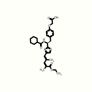 CCOC(=O)/C(C)=C\C(C)=C\c1csc([C@H](Cc2ccc(OCC(=O)O)cc2)NC(=O)C2CCCCC2)n1